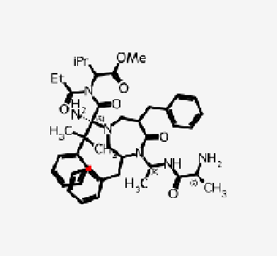 CCC(=O)N(C(=O)[C@@](N)(N1CC(Cc2ccccc2)C(=O)N([C@H](C)NC(=O)[C@H](C)N)C(Cc2ccccc2)C1)C(C)(C)c1ccccc1)C(C(=O)OC)C(C)C